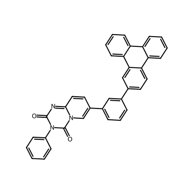 O=c1nc2ccc(-c3cccc(-c4ccc5c6ccccc6c6ccccc6c5c4)c3)cn2c(=O)n1-c1ccccc1